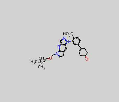 C[Si](C)(C)CCOCn1ccc2cc3c(cnn3-c3cc(C4=CCC(=O)CC4)ccc3C(=O)O)nc21